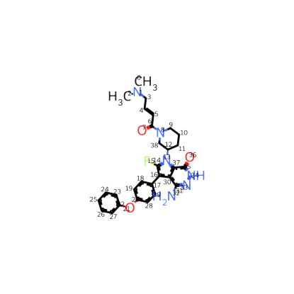 CN(C)C/C=C/C(=O)N1CCC[C@@H](n2c(F)c(-c3ccc(Oc4ccccc4)cc3)c3c(N)n[nH]c(=O)c32)C1